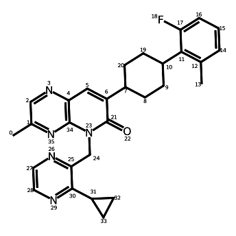 Cc1cnc2cc(C3CCC(c4c(C)cccc4F)CC3)c(=O)n(Cc3nccnc3C3CC3)c2n1